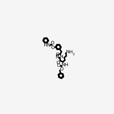 NCCCCC(NC(=O)OCc1ccccc1)C(=O)c1noc(Cc2cccc(OC(=O)Nc3ccccc3)c2)n1